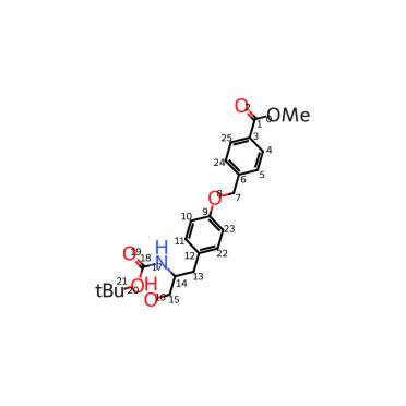 COC(=O)c1ccc(COc2ccc(CC(CO)NC(=O)OC(C)(C)C)cc2)cc1